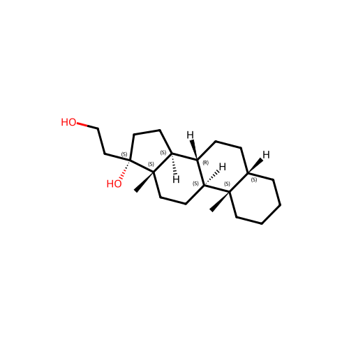 C[C@]12CCCC[C@H]1CC[C@@H]1[C@@H]2CC[C@@]2(C)[C@H]1CC[C@]2(O)CCO